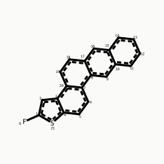 Fc1cc2c(ccc3c4cc5ccccc5cc4ccc23)s1